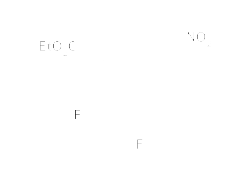 CCOC(=O)c1cc([N+](=O)[O-])cc(F)c1F